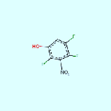 O=[N+]([O-])c1c(F)c(O)cc(F)c1F